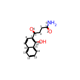 NC(=O)CCC(=O)c1ccc2ccccc2c1O